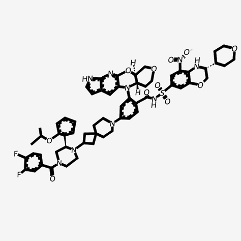 CC(C)Oc1ccccc1[C@@H]1CN(C(=O)c2ccc(F)c(F)c2)CCN1C1CC2(CCN(c3ccc(C(=O)NS(=O)(=O)c4cc5c(c([N+](=O)[O-])c4)N[C@H](C4CCOCC4)CO5)c(N4c5cc6cc[nH]c6nc5O[C@H]5COCC[C@@H]54)c3)CC2)C1